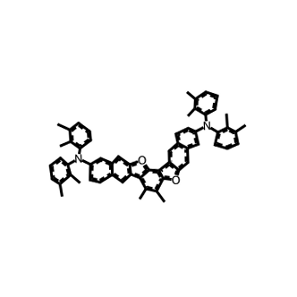 Cc1cccc(N(c2ccc3cc4c(cc3c2)oc2c4c(C)c(C)c3oc4cc5cc(N(c6cccc(C)c6C)c6cccc(C)c6C)ccc5cc4c32)c2cccc(C)c2C)c1C